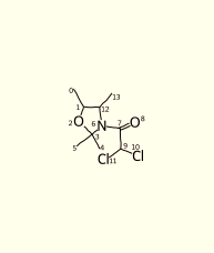 CC1OC(C)(C)N(C(=O)C(Cl)Cl)C1C